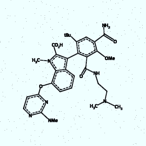 CNc1nccc(Oc2cccc3c(-c4c(C(C)(C)C)cc(C(N)=O)c(OC)c4C(=O)NCCN(C)C)c(C(=O)O)n(C)c23)n1